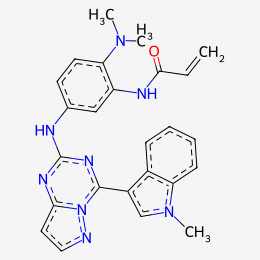 C=CC(=O)Nc1cc(Nc2nc(-c3cn(C)c4ccccc34)n3nccc3n2)ccc1N(C)C